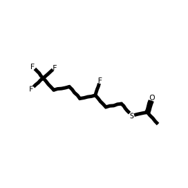 CC(=O)SCCC(F)CCCC(F)(F)F